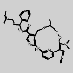 C=C=C/C1=C(\N(C)C)OCC[C@H](C)SCc2cc(ncc2C(=O)NC(CC/C(C)=C\C)c2ccccc2)Nc2cccc1n2